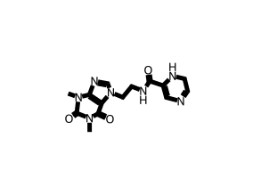 Cn1c(=O)c2c(ncn2CCNC(=O)C2=CN=CCN2)n(C)c1=O